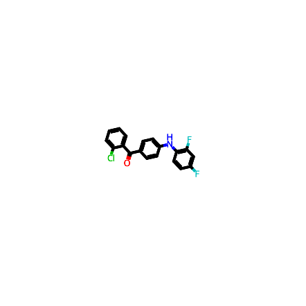 O=C(c1ccc(Nc2ccc(F)cc2F)cc1)c1ccccc1Cl